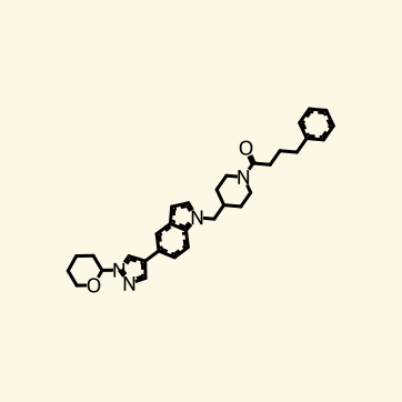 O=C(CCCc1ccccc1)N1CCC(Cn2ccc3cc(-c4cnn(C5CCCCO5)c4)ccc32)CC1